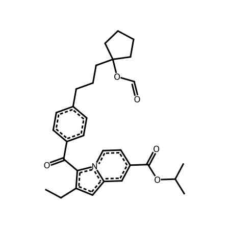 CCc1cc2cc(C(=O)OC(C)C)ccn2c1C(=O)c1ccc(CCCC2(OC=O)CCCC2)cc1